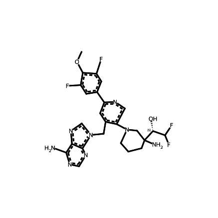 COc1c(F)cc(-c2cc(Cn3cnc4c(N)ncnc43)c(N3CCCC(N)([C@H](O)C(F)F)C3)cn2)cc1F